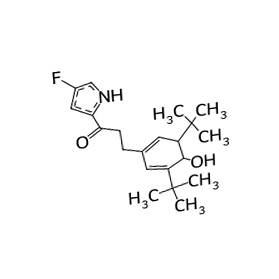 CC(C)(C)C1=CC(CCC(=O)c2cc(F)c[nH]2)=CC(C(C)(C)C)C1O